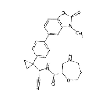 Cn1c(=O)oc2ccc(-c3ccc(C4([C@@H](C#N)NC(=O)[C@@H]5CNCCCO5)CC4)cc3)cc21